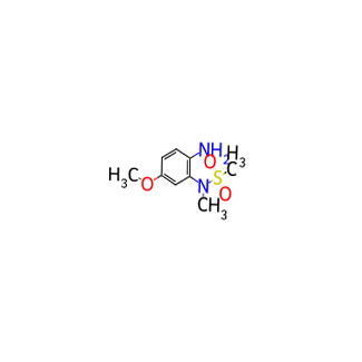 COc1ccc(N)c(N(C)S(C)(=O)=O)c1